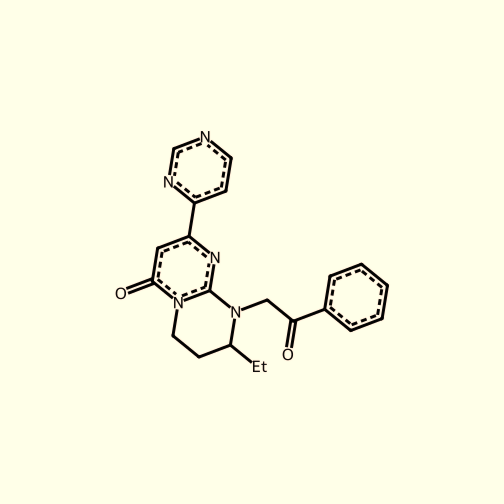 CCC1CCn2c(nc(-c3ccncn3)cc2=O)N1CC(=O)c1ccccc1